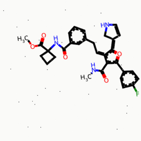 CNC(=O)c1c(-c2ccc(F)cc2)oc(=C2\C=CNC2)/c1=C\Cc1cccc(C(=O)NC2(C(=O)OC)CCC2)c1